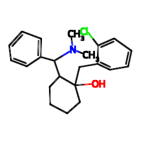 CN(C)C(c1ccccc1)C1CCCCC1(O)Cc1ccccc1Cl